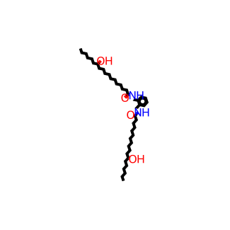 CCCCCCC(O)CCCCCCCCCCC(=O)NCc1ccccc1CNC(=O)CCCCCCCCCCC(O)CCCCCC